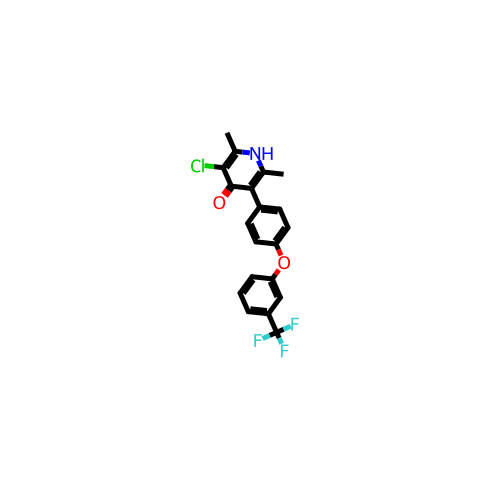 Cc1[nH]c(C)c(-c2ccc(Oc3cccc(C(F)(F)F)c3)cc2)c(=O)c1Cl